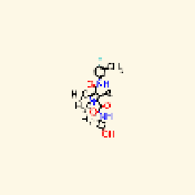 Cc1cc(NC(=O)c2c(C3CC3)c(C(=O)C(=O)NC3(C)CC(O)C3)n(C)c2C)ccc1F